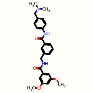 COc1cc(OC)cc(C(=O)NCc2cccc(C(=O)Nc3ccc(CN(C)C)cc3)c2)c1